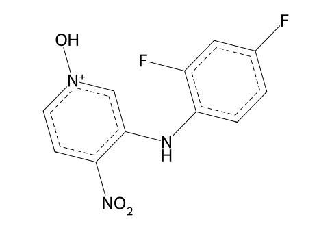 O=[N+]([O-])c1cc[n+](O)cc1Nc1ccc(F)cc1F